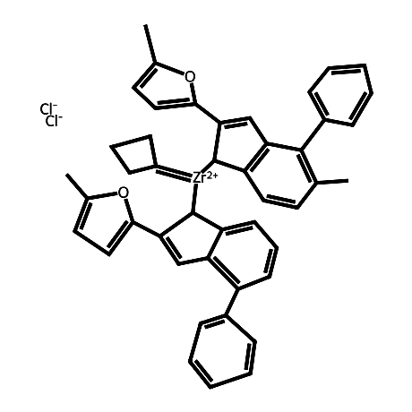 Cc1ccc(C2=Cc3c(-c4ccccc4)cccc3[CH]2[Zr+2](=[C]2CCC2)[CH]2C(c3ccc(C)o3)=Cc3c2ccc(C)c3-c2ccccc2)o1.[Cl-].[Cl-]